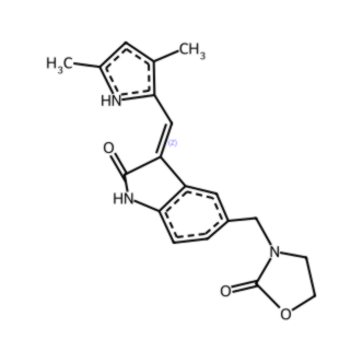 Cc1cc(C)c(/C=C2\C(=O)Nc3ccc(CN4CCOC4=O)cc32)[nH]1